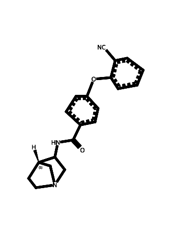 N#Cc1ccccc1Oc1ccc(C(=O)NC2CN3CC[C@H]2C3)cc1